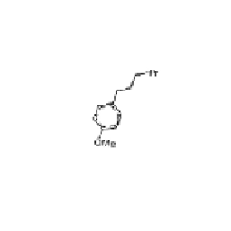 COc1ccc(CCCC(C)C)cc1